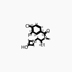 CCC(CN1CC(O)C1)N(C)C(=O)c1ccc(Cl)c(F)c1